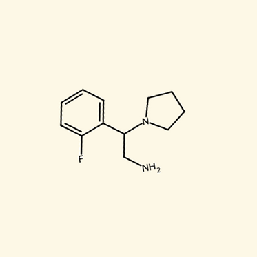 NCC(c1ccccc1F)N1CCCC1